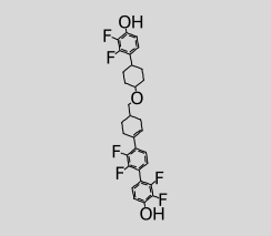 Oc1ccc(-c2ccc(C3=CCC(COC4CCC(c5ccc(O)c(F)c5F)CC4)CC3)c(F)c2F)c(F)c1F